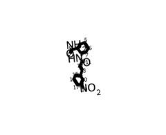 NC(=O)c1ccccc1NC(=O)C=Cc1cccc([N+](=O)[O-])c1